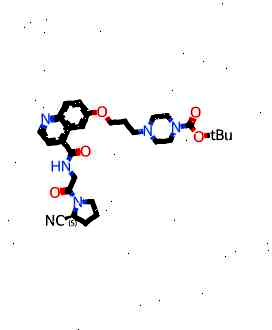 CC(C)(C)OC(=O)N1CCN(CCCOc2ccc3nccc(C(=O)NCC(=O)N4CCC[C@H]4C#N)c3c2)CC1